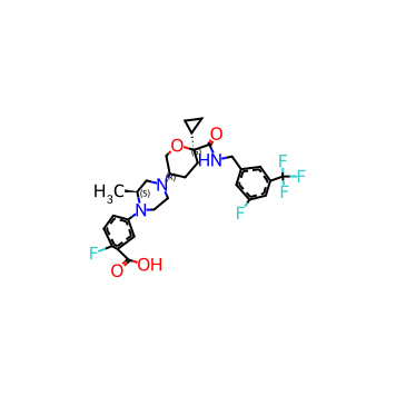 C[C@H]1CN([C@@H]2CC[C@@](C(=O)NCc3cc(F)cc(C(F)(F)F)c3)(C3CC3)OC2)CCN1c1ccc(F)c(C(=O)O)c1